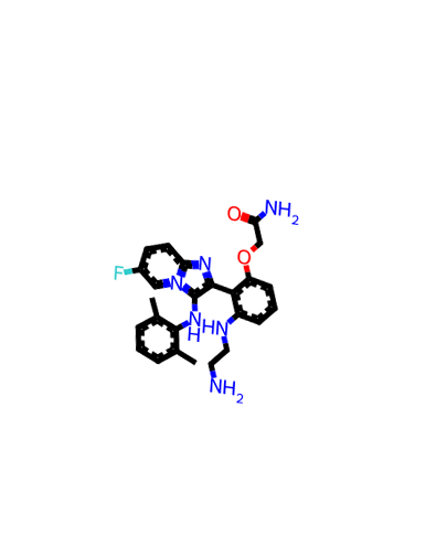 Cc1cccc(C)c1Nc1c(-c2c(NCCN)cccc2OCC(N)=O)nc2ccc(F)cn12